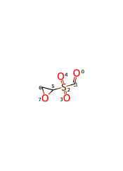 O=[C]S(=O)(=O)C1CO1